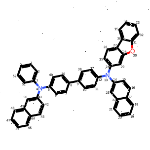 c1ccc(N(c2ccc(-c3ccc(N(c4ccc5ccccc5c4)c4ccc5c(c4)oc4ccccc45)cc3)cc2)c2ccc3ccccc3c2)cc1